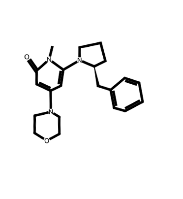 Cn1c(N2CCC[C@H]2Cc2ccccc2)cc(N2CCOCC2)cc1=O